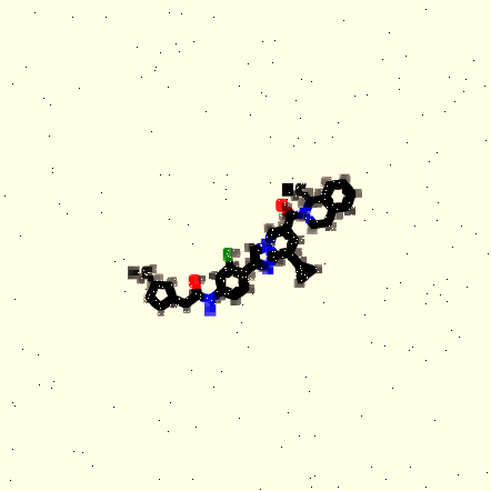 C[C@H]1CCC(CC(=O)Nc2ccc(-c3cn4cc(C(=O)N5CCc6ccccc6[C@H]5C)cc(C5CC5)c4n3)c(F)c2)C1